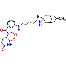 CCC1(NCCCCCNc2cccc3c2C(=O)N(C2CCC(=O)NC2=O)C3=O)CC2CC(C)CC(C2)C1